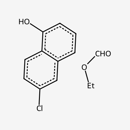 CCOC=O.Oc1cccc2cc(Cl)ccc12